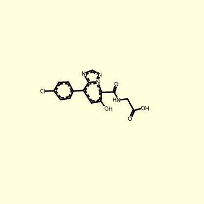 O=C(O)CNC(=O)c1c(O)cc(-c2ccc(Cl)cc2)c2ncnn12